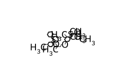 CCOC(=O)C(C)(C)Sc1ccc(OCCC(C)Oc2ccc(CC)cc2[S+]([O-])c2ccccc2)cc1C